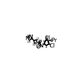 CC(C)c1c(Cl)cc(N=S(=O)(F)N2CC(C3C=NC=N3)C2)cc1Cl